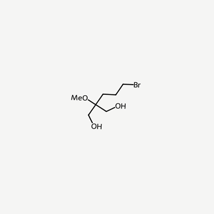 COC(CO)(CO)CCCBr